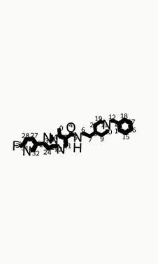 Cc1c(C(=O)NCCC2CCN(Cc3ccccc3)CC2)cnc2cc(-c3ccc(F)nc3)nn12